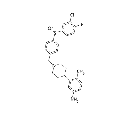 Cc1ccc(N)cc1C1CCN(Cc2ccc([S+]([O-])c3ccc(F)c(Cl)c3)cc2)CC1